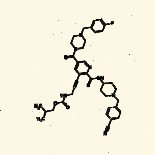 CC(C)COC(=O)NCC#Cc1cc(C(=O)N2CCN(Cc3ccc(F)cc3)CC2)cnc1C(=O)NC1CCN(Cc2ccc(C#N)cc2)CC1